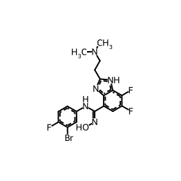 CN(C)CCc1nc2c(/C(=N/O)Nc3ccc(F)c(Br)c3)cc(F)c(F)c2[nH]1